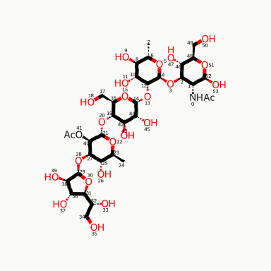 CC(=O)N[C@@H]1[C@@H](O[C@@H]2O[C@@H](C)[C@H](O)[C@@H](O)[C@H]2O[C@H]2O[C@H](CO)[C@@H](O[C@@H]3O[C@@H](C)[C@H](O)[C@@H](O[C@H]4O[C@@H]([C@H](O)CO)[C@H](O)[C@H]4O)[C@H]3OC(C)=O)[C@H](O)[C@H]2O)[C@H](O)[C@@H](CO)O[C@H]1O